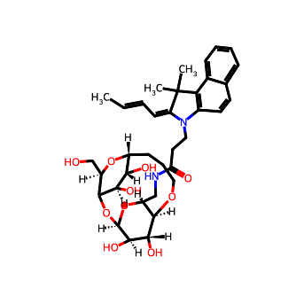 C/C=C/C=C1/N(CCC(=O)NC[C@H]2O[C@@H]3OC4[C@@H](CO)O[C@H](CCCO[C@H]2[C@H](O)[C@H]3O)[C@H](O)[C@H]4O)c2ccc3ccccc3c2C1(C)C